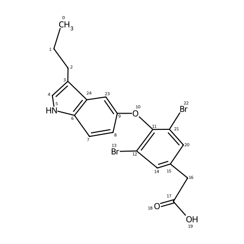 CCCc1c[nH]c2ccc(Oc3c(Br)cc(CC(=O)O)cc3Br)cc12